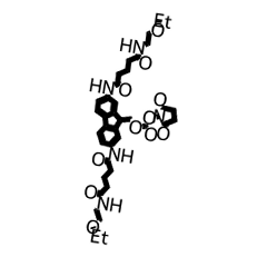 CCOCCNC(=O)CCCC(=O)Nc1ccc2c(c1)C(COC(=O)ON1C(=O)CCC1=O)c1cc(NC(=O)CCCC(=O)NCCOCC)ccc1-2